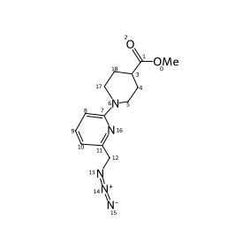 COC(=O)C1CCN(c2cccc(CN=[N+]=[N-])n2)CC1